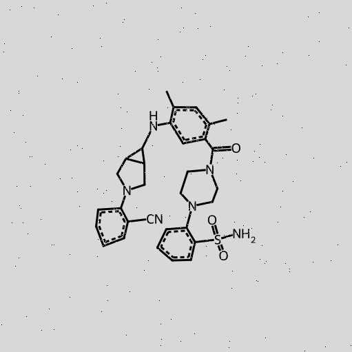 Cc1cc(C)c(C(=O)N2CCN(c3ccccc3S(N)(=O)=O)CC2)cc1NC1C2CN(c3ccccc3C#N)CC21